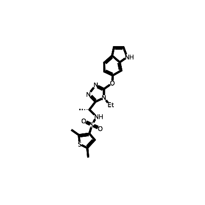 CCn1c(Oc2ccc3cc[nH]c3c2)nnc1[C@@H](C)NS(=O)(=O)c1cc(C)sc1C